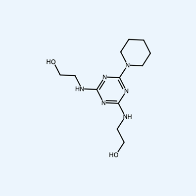 OCCNc1nc(NCCO)nc(N2CCCCC2)n1